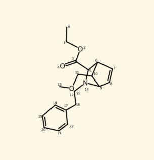 CCOC(=O)C1C2C=CC(C2COC)N1CCc1ccccc1